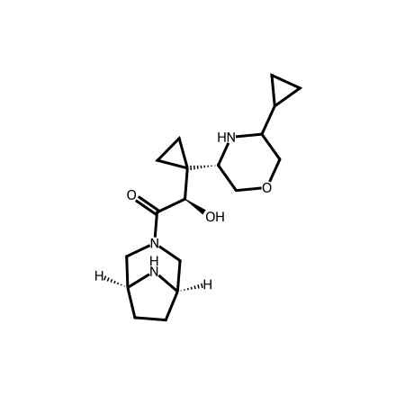 O=C([C@H](O)C1([C@H]2COCC(C3CC3)N2)CC1)N1C[C@H]2CC[C@@H](C1)N2